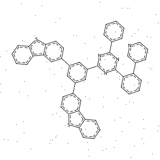 c1ccc(-c2nc(-c3cc(-c4ccc5sc6ccccc6c5c4)cc(-c4ccc5sc6ccccc6c5c4)c3)nc(-c3ccccc3-c3cccnc3)n2)cc1